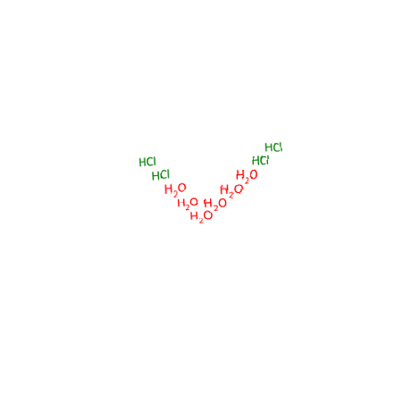 Cl.Cl.Cl.Cl.O.O.O.O.O.O